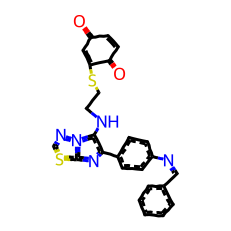 O=C1C=CC(=O)C(SCCNc2c(-c3ccc(/N=C\c4ccccc4)cc3)nc3scnn23)=C1